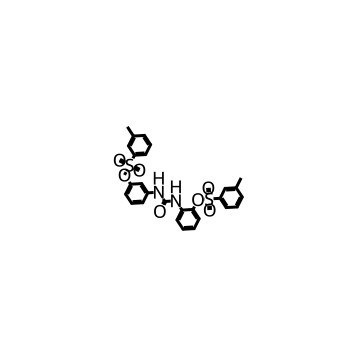 Cc1cccc(S(=O)(=O)Oc2cccc(NC(=O)Nc3ccccc3OS(=O)(=O)c3cccc(C)c3)c2)c1